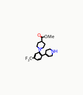 COC(=O)C1CCN(c2cc(C(F)(F)F)ccc2C2=CCNCC2)CC1